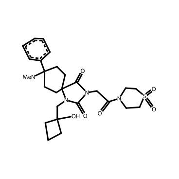 CNC1(c2ccccc2)CCC2(CC1)C(=O)N(CC(=O)N1CCS(=O)(=O)CC1)C(=O)N2CC1(O)CCC1